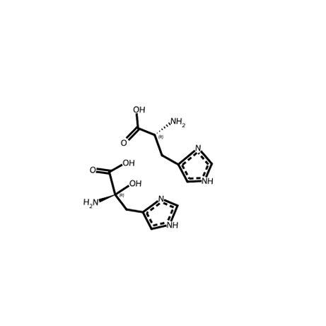 N[C@@](O)(Cc1c[nH]cn1)C(=O)O.N[C@H](Cc1c[nH]cn1)C(=O)O